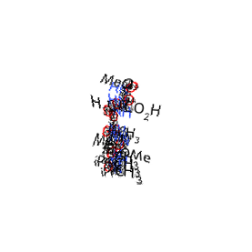 CC[C@H](C)[C@@H]([C@@H](CC(=O)N1CCC[C@H]1[C@H](OC)[C@@H](C)C(=O)N[C@@H](Cc1ccccc1)C(=O)NCCCOC(=O)[C@H](C)NC(=O)C[C@H](NC(=O)CCNC(=O)OC)C(=O)O)OC)N(C)C(=O)[C@@H](NC(=O)[C@H](C(C)C)N(C)C)C(C)C